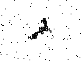 C=C(CCC(=O)NCCc1ccc(S(N)(=O)=O)cc1)NC(=O)COc1ccc(Cl)c(F)c1